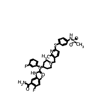 Cc1nc(Sc2ccc(NS(C)(=O)=O)cc2)ccc1CN1CCC(N(C(=O)Nc2cc(C(N)=O)c(F)cc2F)c2cccc(F)c2)CC1